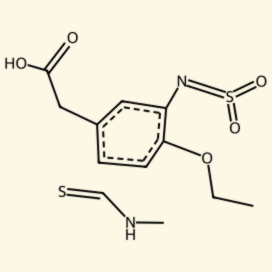 CCOc1ccc(CC(=O)O)cc1N=S(=O)=O.CNC=S